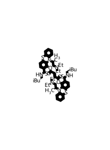 CC[C@H](C)CNC(=S)c1ccc2c(c1OC(=O)/C=C/C(=O)Oc1c(C(=S)NC[C@@H](C)CC)ccc3c1N([C@@H](C)CN(CC)CC)c1ccccc1S3)N([C@@H](C)CN(CC)CC)c1ccccc1S2